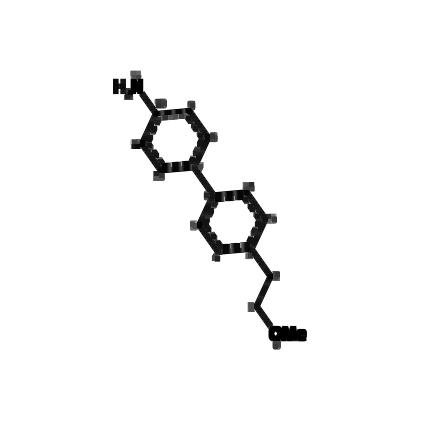 COCCc1ccc(-c2ccc(N)cc2)cc1